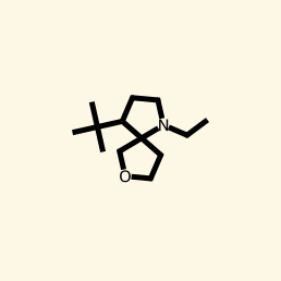 CCN1CCC(C(C)(C)C)C12CCOC2